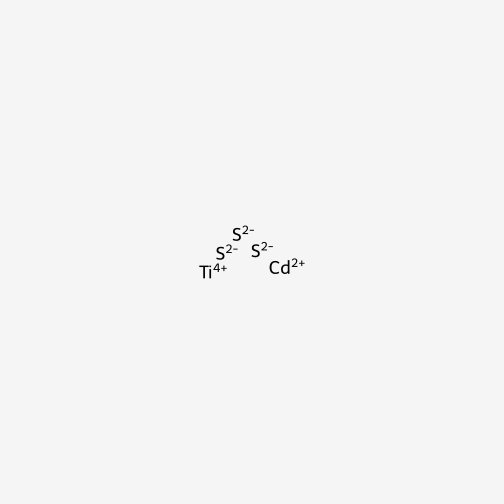 [Cd+2].[S-2].[S-2].[S-2].[Ti+4]